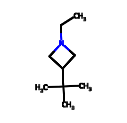 CCN1CC(C(C)(C)C)C1